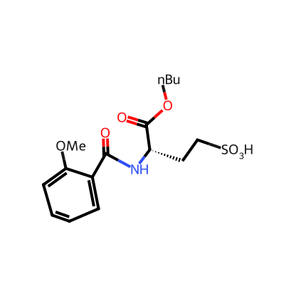 CCCCOC(=O)[C@H](CCS(=O)(=O)O)NC(=O)c1ccccc1OC